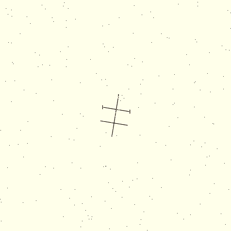 CC(C)(C)C(I)(I)I